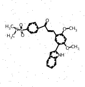 COc1cc(OC)c(-c2cc3ccccc3[nH]2)cc1C=CC(=O)c1ccc(S(=O)(=O)N(C)C)cc1